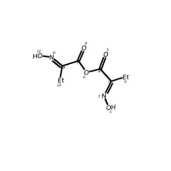 CC/C(=N\O)C(=O)OC(=O)/C(CC)=N/O